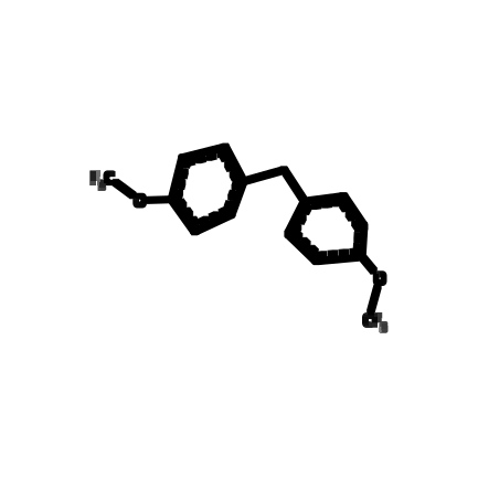 FC(F)(F)Oc1ccc(Cc2ccc(OC(F)(F)F)cc2)cc1